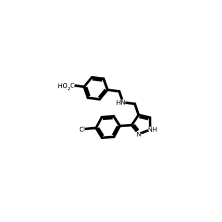 O=C(O)c1ccc(CNCc2c[nH]nc2-c2ccc(Cl)cc2)cc1